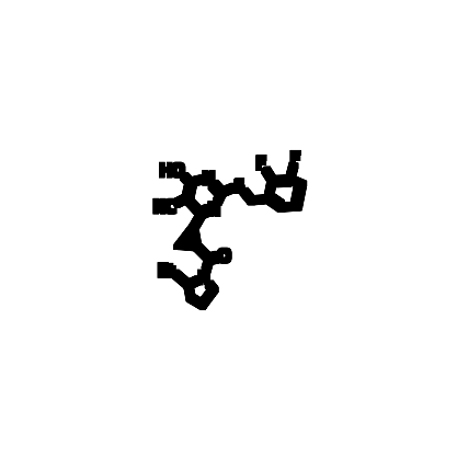 CCC1CCCN1C(=O)C1CC1c1nc(SCc2cccc(F)c2F)nc(O)c1C#N